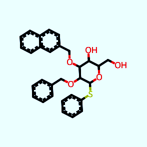 OCC1OC(Sc2ccccc2)C(OCc2ccccc2)C(OCc2ccc3ccccc3c2)C1O